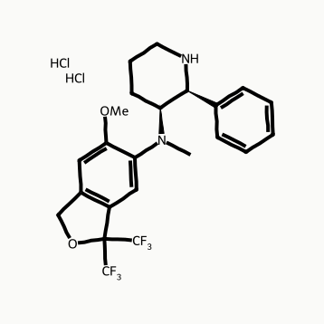 COc1cc2c(cc1N(C)[C@H]1CCCN[C@H]1c1ccccc1)C(C(F)(F)F)(C(F)(F)F)OC2.Cl.Cl